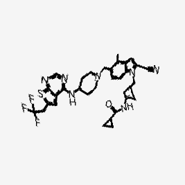 Cc1c(CN2CCC(Nc3ncnc4sc(CC(F)(F)F)cc34)CC2)ccc2c1cc(C#N)n2CC12CC(NC(=O)C3CC3)(C1)C2